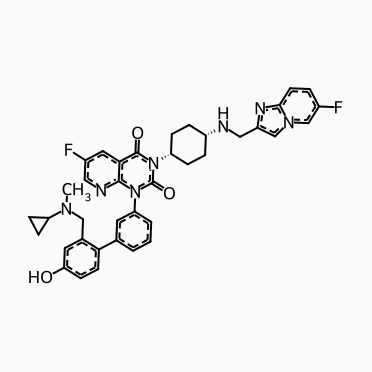 CN(Cc1cc(O)ccc1-c1cccc(-n2c(=O)n([C@H]3CC[C@@H](NCc4cn5cc(F)ccc5n4)CC3)c(=O)c3cc(F)cnc32)c1)C1CC1